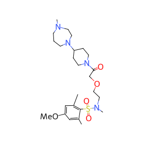 COc1cc(C)c(S(=O)(=O)N(C)CCOCC(=O)N2CCC(N3CCCN(C)CC3)CC2)c(C)c1